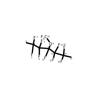 CC(F)(F)C(F)(F)C(F)(OC(F)(F)F)C(F)(F)C(C)(F)F